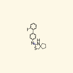 Ic1ccccc1-c1ccc(/N=C2\NC3(CCCC3)CS2)cc1